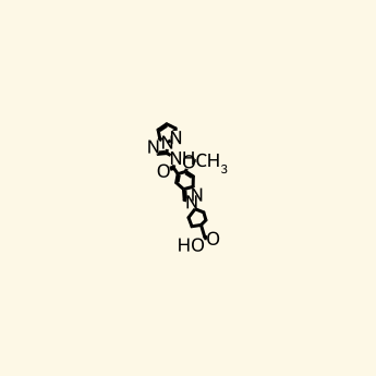 COc1cc2nn(C3CCC(C(=O)O)CC3)cc2cc1C(=O)Nc1cnc2cccnn12